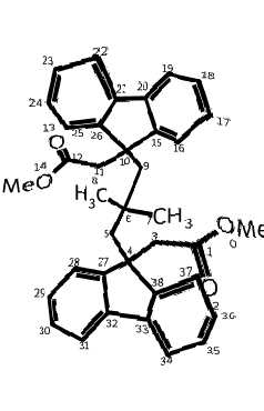 COC(=O)CC1(CC(C)(C)CC2(CC(=O)OC)c3ccccc3-c3ccccc32)c2ccccc2-c2ccccc21